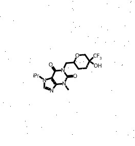 CC(C)n1cnc2c1c(=O)n(CC1CCC(O)(C(F)(F)F)CO1)c(=O)n2C